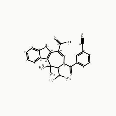 CC(C)C1N(C(=O)c2cccc(C#N)c2)C=C(C(=O)O)c2[nH]c3ccccc3c2C1(C)C